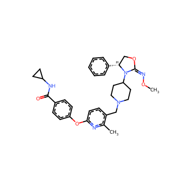 CON=C1OC[C@@H](c2ccccc2)N1C1CCN(Cc2ccc(Oc3ccc(C(=O)NC4CC4)cc3)nc2C)CC1